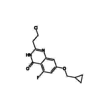 O=c1[nH]c(CCCl)nc2cc(OCC3CC3)cc(F)c12